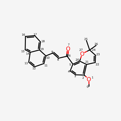 COc1ccc(C(=O)C=Cc2cccc3ccccc23)c2c1C=CC(C)(C)O2